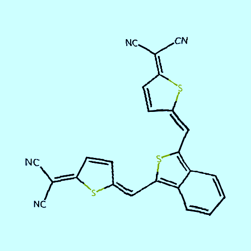 N#CC(C#N)=c1cc/c(=C\c2sc(/C=c3\ccc(=C(C#N)C#N)s3)c3ccccc23)s1